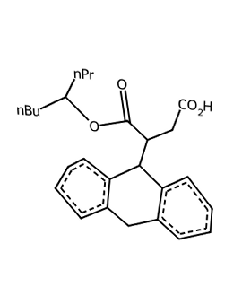 CCCCC(CCC)OC(=O)C(CC(=O)O)C1c2ccccc2Cc2ccccc21